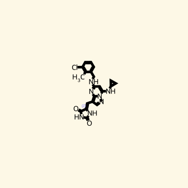 Cc1c(Cl)cccc1CNc1cc(NC2CC2)n2ncc(/C=C3\NC(=O)NC3=O)c2n1